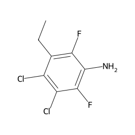 CCc1c(F)c(N)c(F)c(Cl)c1Cl